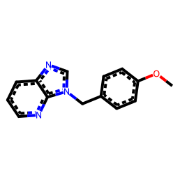 COc1ccc(Cn2cnc3cccnc32)cc1